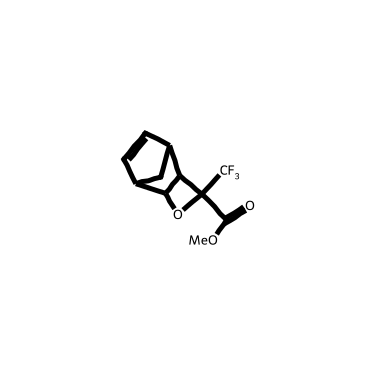 COC(=O)C1(C(F)(F)F)OC2C3C=CC(C3)C21